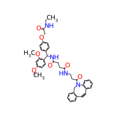 CCNC(=O)COc1ccc(C(NC(=O)CCC(=O)NCCC(=O)N2Cc3ccccc3C#Cc3ccccc32)c2ccc(OC)cc2OC)cc1